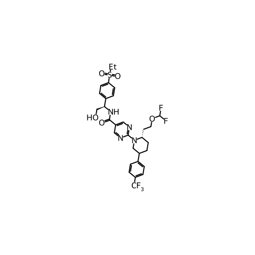 CCS(=O)(=O)c1ccc([C@H](CO)NC(=O)c2cnc(N3CC(c4ccc(C(F)(F)F)cc4)CC[C@H]3CCOC(F)F)nc2)cc1